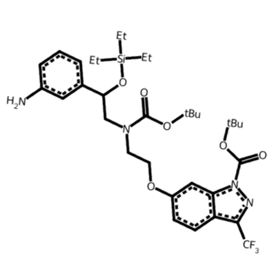 CC[Si](CC)(CC)OC(CN(CCOc1ccc2c(C(F)(F)F)nn(C(=O)OC(C)(C)C)c2c1)C(=O)OC(C)(C)C)c1cccc(N)c1